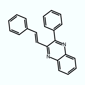 C(=Cc1nc2ccccc2nc1-c1ccccc1)c1ccccc1